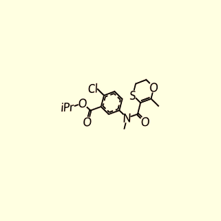 CC1=C(C(=O)N(C)c2ccc(Cl)c(C(=O)OC(C)C)c2)SCCO1